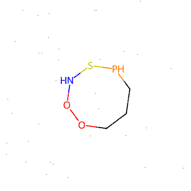 C1COONSPC1